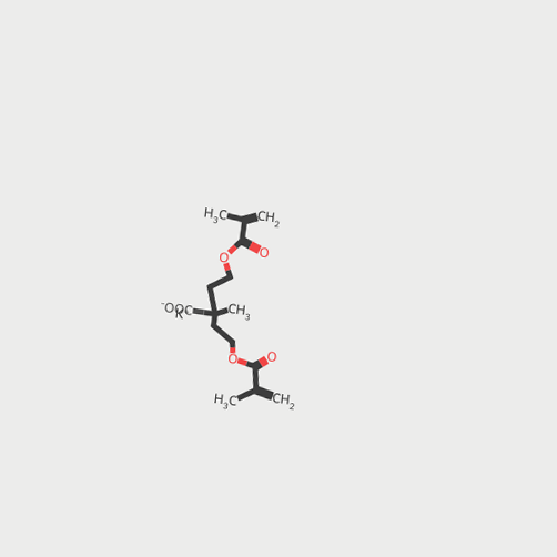 C=C(C)C(=O)OCCC(C)(CCOC(=O)C(=C)C)C(=O)[O-].[K+]